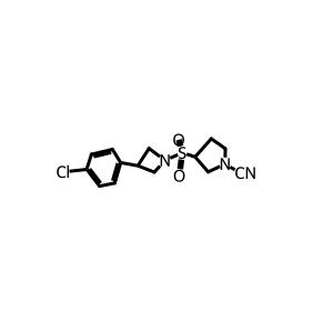 N#CN1CCC(S(=O)(=O)N2CC(c3ccc(Cl)cc3)C2)C1